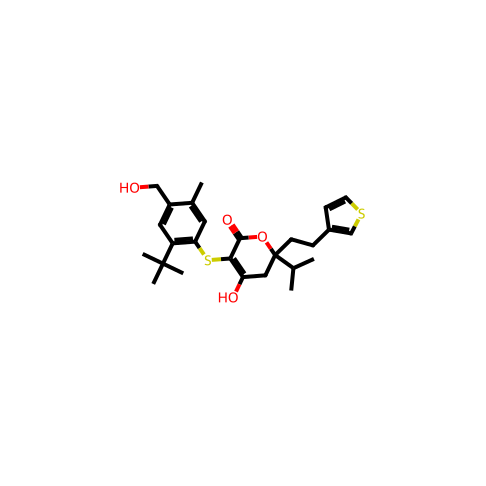 Cc1cc(SC2=C(O)CC(CCc3ccsc3)(C(C)C)OC2=O)c(C(C)(C)C)cc1CO